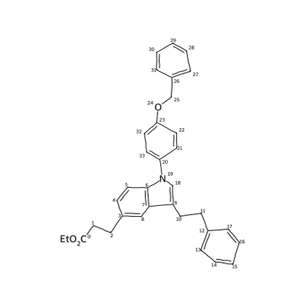 CCOC(=O)CCc1ccc2c(c1)c(CCc1ccccc1)cn2-c1ccc(OCc2ccccc2)cc1